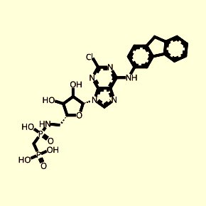 O=P(O)(O)CP(=O)(O)NC[C@H]1O[C@@H](n2cnc3c(Nc4ccc5c(c4)-c4ccccc4C5)nc(Cl)nc32)C(O)C1O